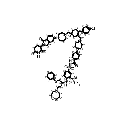 C[C@@]1(CN2CCCN(c3ccc4c(c3)CN(C3CCC(=O)NC3=O)C4=O)CC2)CCC(c2ccc(Cl)cc2)=C(CN2CCN(c3ccc(C(=O)NS(=O)(=O)c4ccc(N[C@H](CCN5CCCOCC5)CSc5ccccc5)c(S(=O)(=O)C(F)(F)F)c4)cc3)CC2)C1